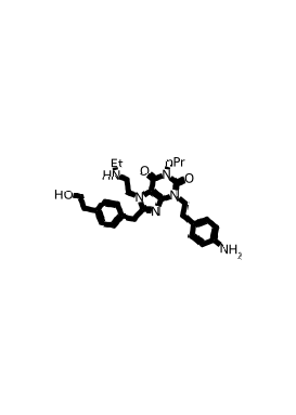 CCCn1c(=O)c2c(nc(Cc3ccc(CCO)cc3)n2CCNCC)n(CCc2ccc(N)cc2)c1=O